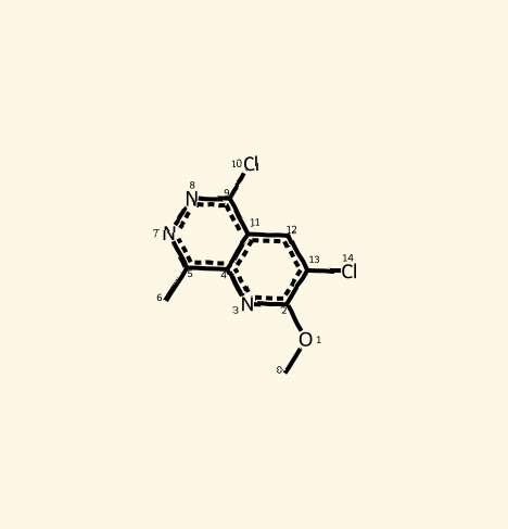 COc1nc2c(C)nnc(Cl)c2cc1Cl